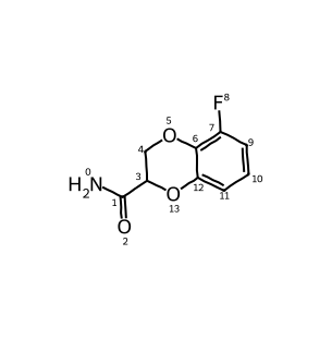 NC(=O)C1COc2c(F)cccc2O1